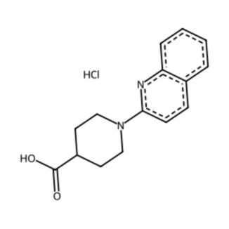 Cl.O=C(O)C1CCN(c2ccc3ccccc3n2)CC1